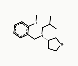 COc1ccccc1CN(CC(C)C)[C@H]1CCNC1